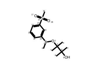 CB(OC(C)(C)C(C)(C)O)c1cccc(S(C)(=O)=O)c1